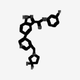 O=C(Nc1cccc(F)c1)c1n[nH]c2ccc(-c3cncc(CN4CCC(F)(F)C4)c3)cc12